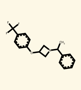 CC(c1ccccc1)N1CC(Oc2ccc(C(F)(F)F)cc2)C1